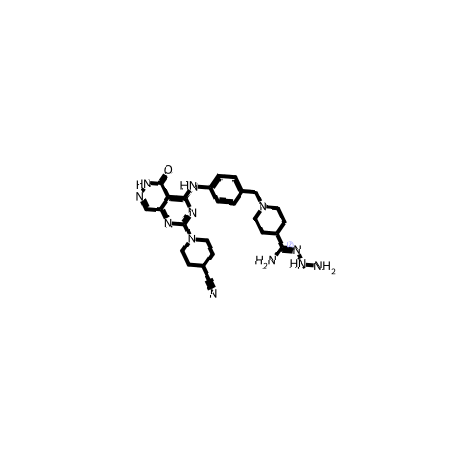 N#CC1CCN(c2nc(Nc3ccc(CN4CCC(/C(N)=N/NN)CC4)cc3)c3c(=O)[nH]ncc3n2)CC1